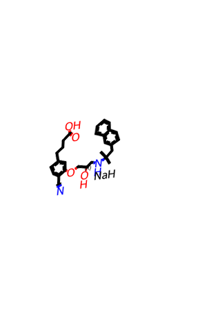 CC(C)(Cc1ccc2ccccc2c1)NC[C@@H](O)COc1cc(CCCC(=O)O)ccc1C#N.[NaH]